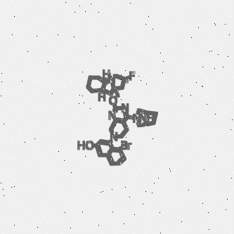 Oc1cc(N2CCc3c(nc(OC[C@]45C[C@H](F)CN4[C@H]4CCCC[C@H]4C5)nc3N3CC4CCC(C3)N4)C2)c2c(Br)cccc2c1